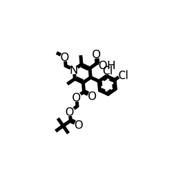 COCN1C(C)=C(C(=O)O)C(c2cccc(Cl)c2Cl)C(C(=O)OCOC(=O)C(C)(C)C)=C1C